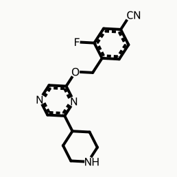 N#Cc1ccc(COc2cncc(C3CCNCC3)n2)c(F)c1